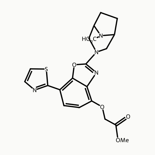 COC(=O)COc1ccc(-c2nccs2)c2oc(N3CC4CCC(C3)N4C(=O)O)nc12